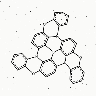 c1ccc2c(c1)Oc1ccc3c4c1N2c1ccc2c5c1B4c1c(ccc4c1N3c1ccccc1O4)N5c1ccccc1O2